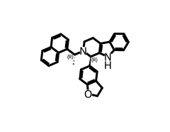 C[C@H](c1cccc2ccccc12)N1CCc2c([nH]c3ccccc23)[C@H]1c1ccc2c(c1)CCO2